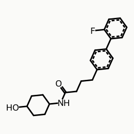 O=C(CCCc1ccc(-c2ccccc2F)cc1)NC1CCC(O)CC1